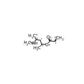 C=CC(=O)OC(C)CC(C)NC